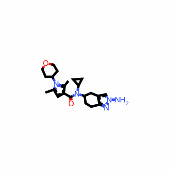 Cc1cc(C(=O)N(C2CC2)C2CCc3nn(N)cc3C2)c(C)n1C1CCOCC1